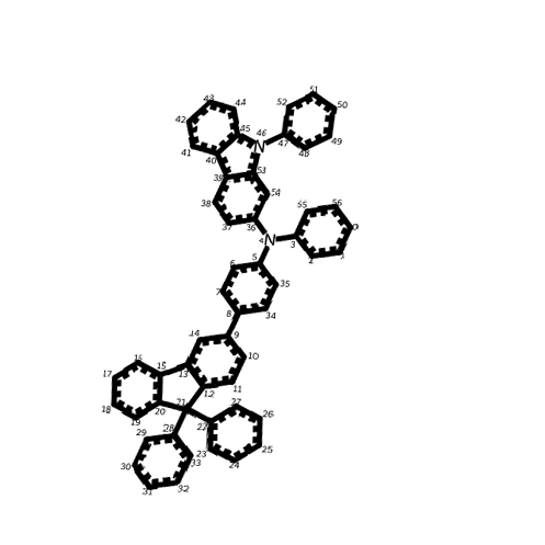 c1ccc(N(c2ccc(-c3ccc4c(c3)-c3ccccc3C4(c3ccccc3)c3ccccc3)cc2)c2ccc3c4ccccc4n(-c4ccccc4)c3c2)cc1